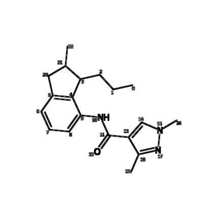 CCCC1c2c(cccc2NC(=O)c2cn(C)nc2C)CC1C